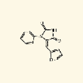 O=C1NC(=O)N(c2ccccc2)C1=Cc1ccco1